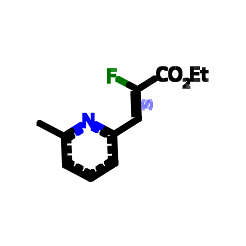 CCOC(=O)/C(F)=C/c1cccc(C)n1